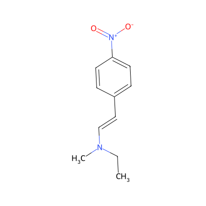 CCN(C)C=Cc1ccc([N+](=O)[O-])cc1